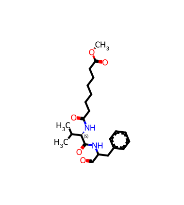 COC(=O)CCCCCCC(=O)N[C@H](C(=O)NC(C=O)Cc1ccccc1)C(C)C